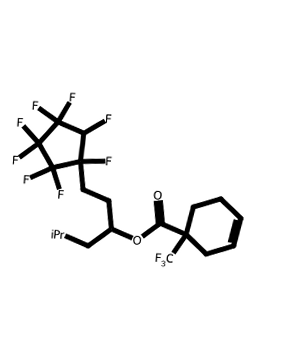 CC(C)CC(CCC1(F)C(F)C(F)(F)C(F)(F)C1(F)F)OC(=O)C1(C(F)(F)F)CC=CCC1